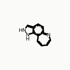 C1=CN=c2ccc3c(c2C=C1)NNC=3